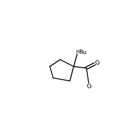 CCCCC1(C([O])=O)CCCC1